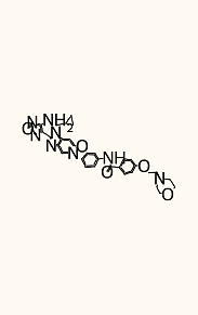 Nc1nonc1-c1nc2cnc(Oc3cccc(NC(=O)c4ccc(OCCN5CCOCC5)cc4)c3)cc2n1CC1CC1